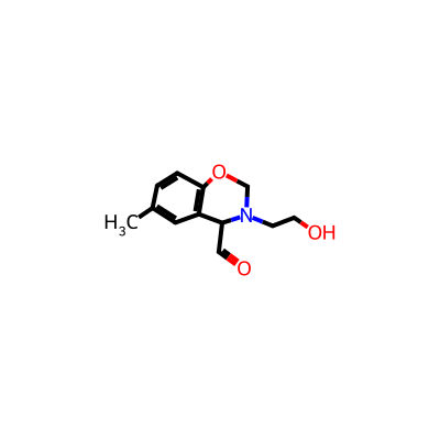 Cc1ccc2c(c1)C(C=O)N(CCO)CO2